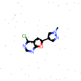 Cn1cc(-c2cc3c(Cl)ncnc3o2)cn1